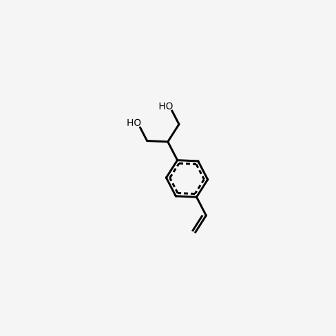 C=Cc1ccc(C(CO)CO)cc1